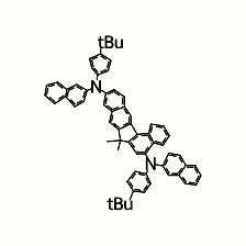 CC(C)(C)c1ccc(N(c2ccc3ccccc3c2)c2ccc3cc4c(cc3c2)C(C)(C)c2cc(N(c3ccc(C(C)(C)C)cc3)c3ccc5ccccc5c3)c3ccccc3c2-4)cc1